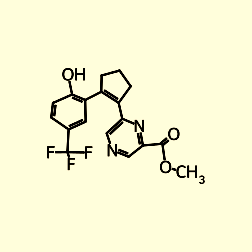 COC(=O)c1cncc(C2=C(c3cc(C(F)(F)F)ccc3O)CCC2)n1